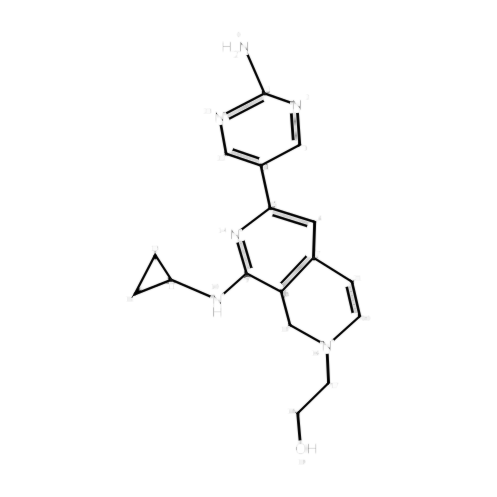 Nc1ncc(-c2cc3c(c(NC4CC4)n2)CN(CCO)C=C3)cn1